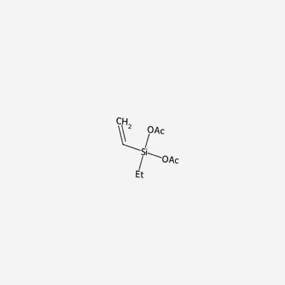 C=C[Si](CC)(OC(C)=O)OC(C)=O